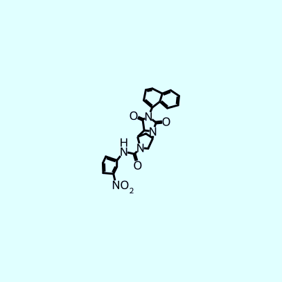 O=C1C2C3CC(CN3C(=O)Nc3cccc([N+](=O)[O-])c3)N2C(=O)N1c1cccc2ccccc12